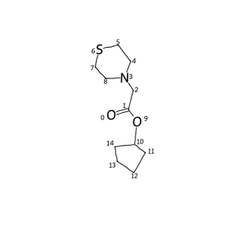 O=C(CN1CCSCC1)OC1CCCC1